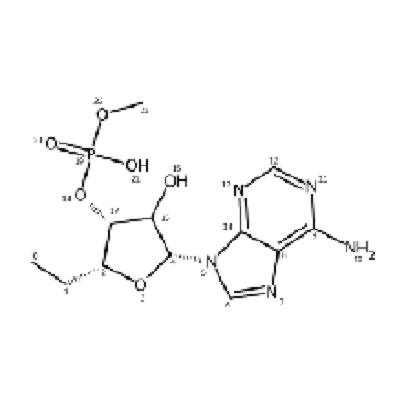 CC[C@H]1O[C@@H](n2cnc3c(N)ncnc32)C(O)[C@H]1OP(=O)(O)OC